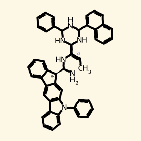 C/C=C(\NC(N)[C@@H]1c2ccccc2-c2cc3c4ccccc4n(-c4ccccc4)c3cc21)C1NC(c2ccccc2)NC(c2cccc3ccccc23)N1